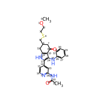 COCCSCC1CC(=O)c2c([nH]c(-c3ccnc(NC(C)=O)c3)c2Nc2ccccc2)C1